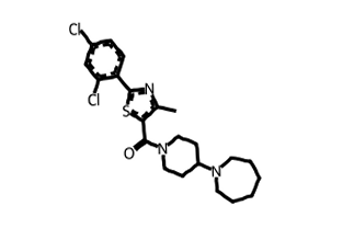 Cc1nc(-c2ccc(Cl)cc2Cl)sc1C(=O)N1CCC(N2CCCCCC2)CC1